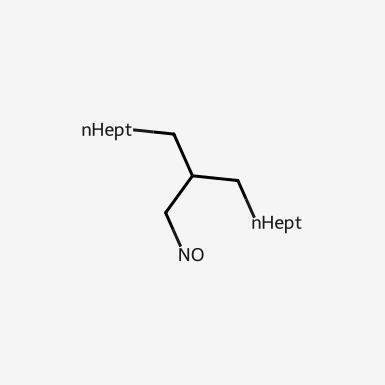 CCCCCCCCC(CCCCCCCC)CN=O